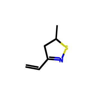 C=CC1=NSC(C)C1